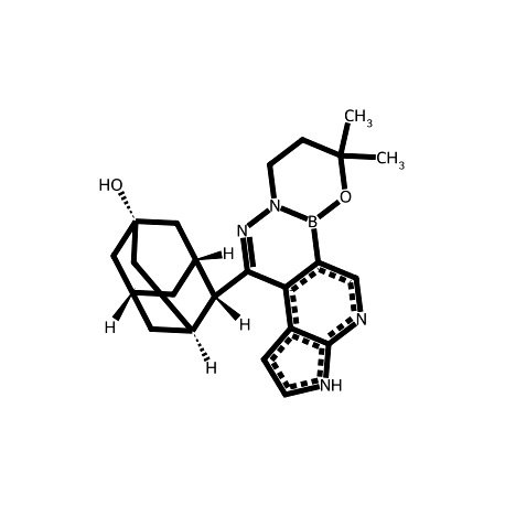 CC1(C)CCN2N=C([C@H]3[C@@H]4C[C@@H]5C[C@H]3C[C@@](O)(C5)C4)c3c(cnc4[nH]ccc34)B2O1